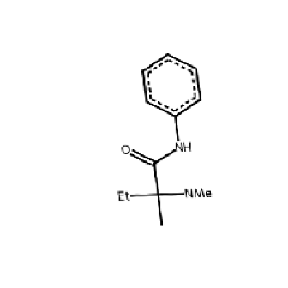 CCC(C)(NC)C(=O)Nc1ccccc1